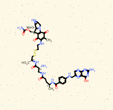 CO[C@]12C3NC3CN1C1=C(C(=O)C(NCCSSC[C@H](NC(=O)[C@H](N)CNC(=O)CC[C@H](C)NC(=O)c3ccc(NCc4cnc5nc(N)nc(O)c5n4)cc3)C(=O)O)=C(C)C1=O)[C@H]2COC(N)=O